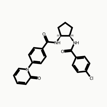 O=C(N[C@H]1CCC[C@H]1NC(=O)c1ccc(Cl)cc1)c1ccc(-n2ccccc2=O)cc1